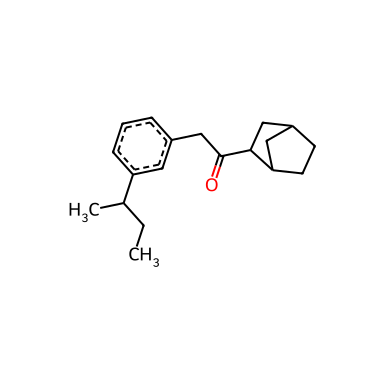 CCC(C)c1cccc(CC(=O)C2CC3CCC2C3)c1